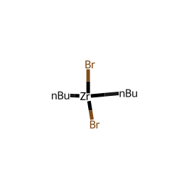 CCC[CH2][Zr]([Br])([Br])[CH2]CCC